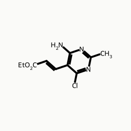 CCOC(=O)/C=C/c1c(N)nc(C)nc1Cl